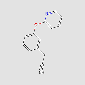 C#C[CH]c1cccc(Oc2ccccn2)c1